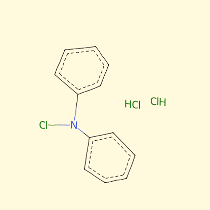 Cl.Cl.ClN(c1ccccc1)c1ccccc1